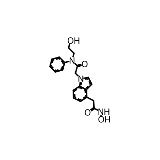 O=C(Cc1cccc2c1ccn2CC(=O)N(CCO)c1ccccc1)NO